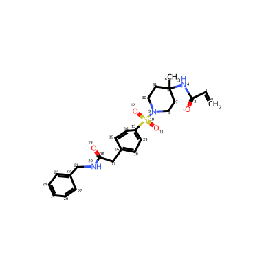 C=CC(=O)NC1(C)CCN(S(=O)(=O)c2ccc(CC(=O)NCc3ccccc3)cc2)CC1